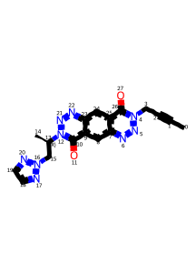 CC#CCn1nnc2cc3c(=O)n([C@H](C)Cn4nccn4)nnc3cc2c1=O